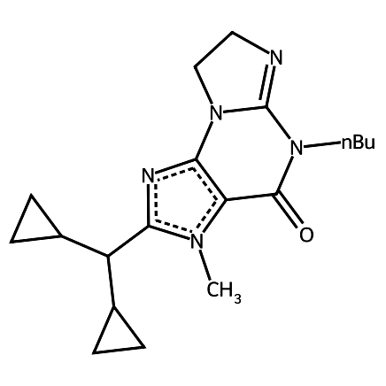 CCCCN1C(=O)c2c(nc(C(C3CC3)C3CC3)n2C)N2CCN=C12